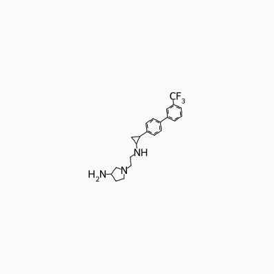 NC1CCN(CCNC2CC2c2ccc(-c3cccc(C(F)(F)F)c3)cc2)C1